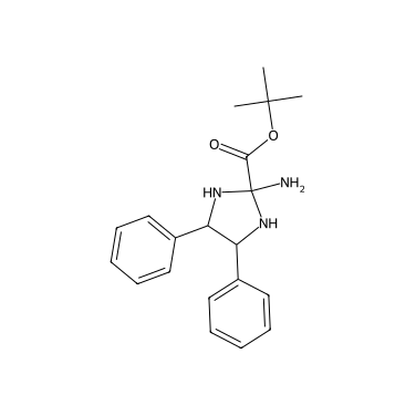 CC(C)(C)OC(=O)C1(N)NC(c2ccccc2)C(c2ccccc2)N1